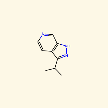 CC(C)c1n[nH]c2cnccc12